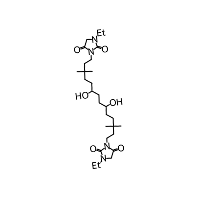 CCN1CC(=O)N(CCC(C)(C)CCC(O)CCC(O)CCC(C)(C)CCN2C(=O)CN(CC)C2=O)C1=O